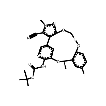 C[C@H]1Oc2cc(cnc2NC(=O)OC(C)(C)C)-c2c(nn(C)c2C#N)OCCOc2ccc(F)cc21